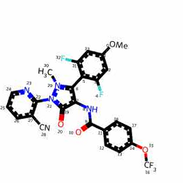 COc1cc(F)c(-c2c(NC(=O)c3ccc(OC(F)(F)F)cc3)c(=O)n(-c3ncccc3C#N)n2C)c(F)c1